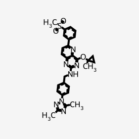 Cc1nc(C)n(-c2ccc(CNc3nc(OC4(C)CC4)c4nc(-c5cccc(S(C)(=O)=O)c5)ccc4n3)cc2)n1